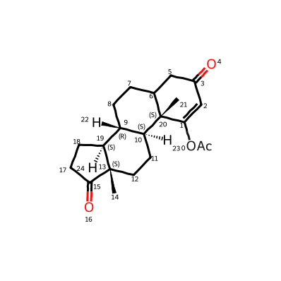 CC(=O)OC1=CC(=O)CC2CC[C@@H]3[C@H](CC[C@]4(C)C(=O)CC[C@@H]34)[C@@]12C